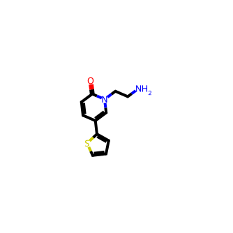 NCCn1cc(-c2cccs2)ccc1=O